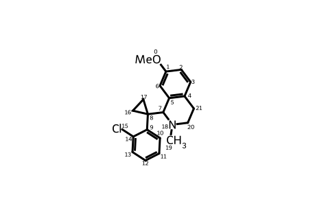 COc1ccc2c(c1)C(C1(c3ccccc3Cl)CC1)N(C)CC2